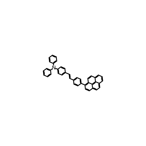 C(=Cc1ccc(N(c2ccccc2)c2ccccc2)cc1)c1ccc(-c2ccc3ccc4cccc5ccc2c3c45)cc1